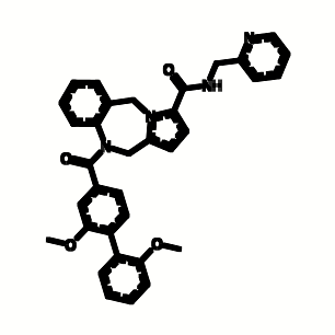 COc1ccccc1-c1ccc(C(=O)N2Cc3ccc(C(=O)NCc4ccccn4)n3Cc3ccccc32)cc1OC